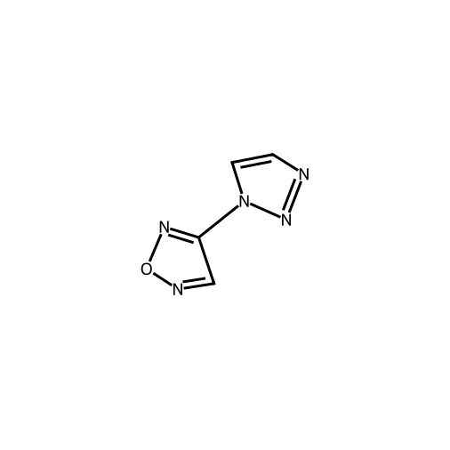 c1cn(-c2cnon2)nn1